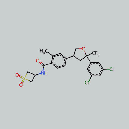 Cc1cc(C2COC(c3cc(Cl)cc(Cl)c3)(C(F)(F)F)C2)ccc1C(=O)NC1CS(=O)(=O)C1